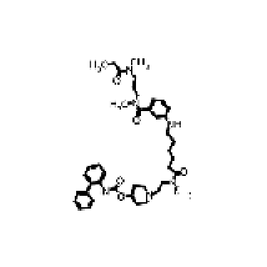 CCC(=O)N(C)CCCN(C)C(=O)c1cccc(NCCCCCC(=O)N(C)CCN2CCC(OC(=O)Nc3ccccc3-c3ccccc3)CC2)c1